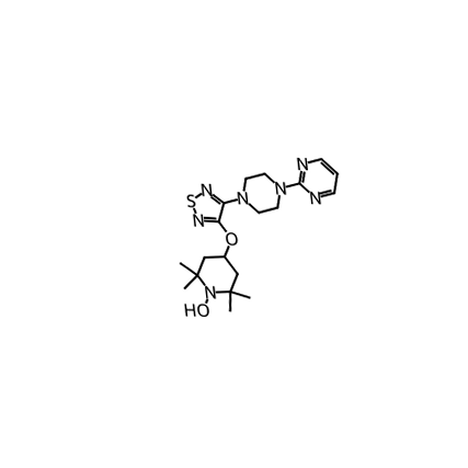 CC1(C)CC(Oc2nsnc2N2CCN(c3ncccn3)CC2)CC(C)(C)N1O